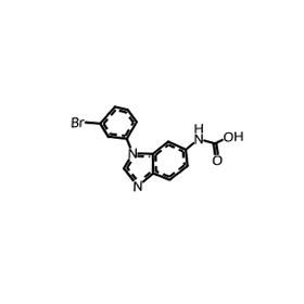 O=C(O)Nc1ccc2ncn(-c3cccc(Br)c3)c2c1